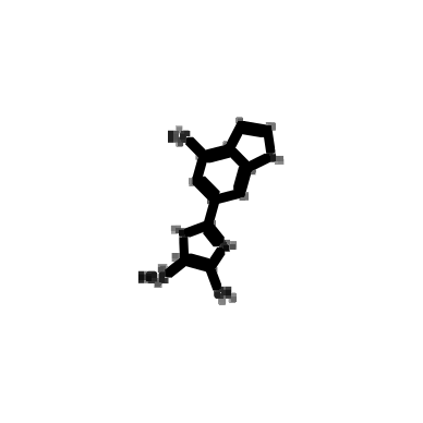 Cc1nc(-c2cc(C)c3ccsc3c2)sc1C(=O)O